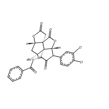 CC(C)(C)[C@]1(O)C[C@@H]2OC(=O)C[C@@]23C(=O)O[C@@H]2N(c4ccc(Cl)c(Cl)c4)C(=O)[C@H](OC(=O)c4ccccc4)[C@]213